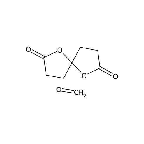 C=O.O=C1CCC2(CCC(=O)O2)O1